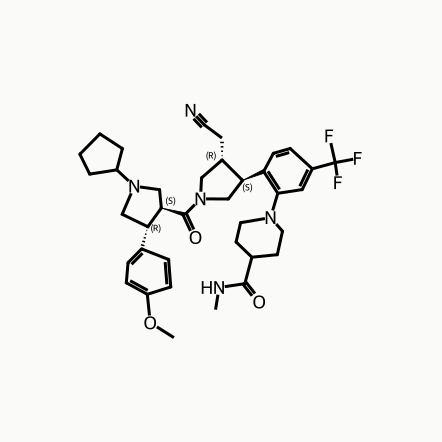 CNC(=O)C1CCN(c2cc(C(F)(F)F)ccc2[C@H]2CN(C(=O)[C@@H]3CN(C4CCCC4)C[C@H]3c3ccc(OC)cc3)C[C@@H]2CC#N)CC1